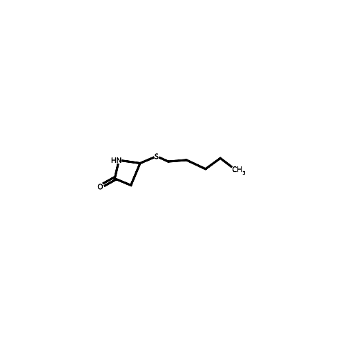 CCCCCSC1CC(=O)N1